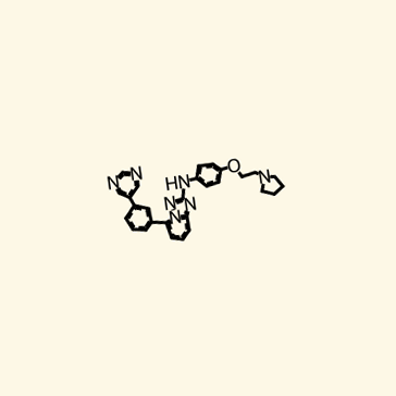 c1cc(-c2cncnc2)cc(-c2cccc3nc(Nc4ccc(OCCN5CCCC5)cc4)nn23)c1